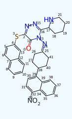 O=c1c(Sc2ccc3ccccc3c2)nnc(C2CCCCN2)n1N=C1CCC(c2ccc([N+](=O)[O-])c3ccccc23)CC1